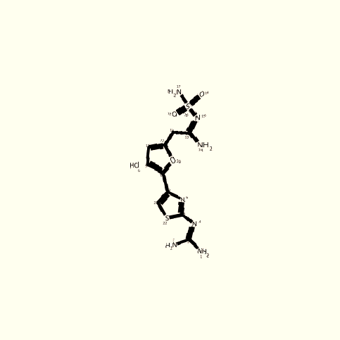 Cl.NC(N)=Nc1nc(-c2ccc(C/C(N)=N\S(N)(=O)=O)o2)cs1